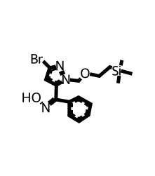 C[Si](C)(C)CCOCn1nc(Br)cc1C(=NO)c1ccccc1